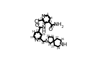 NC(=O)c1ccnc(Cl)c1NC(=O)c1ccnc(CN2CCC3(CCNCC3)C2)c1